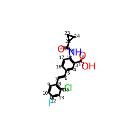 O=C(O)c1cc(C=Cc2ccc(F)cc2Cl)ccc1NC(=O)C1CC1